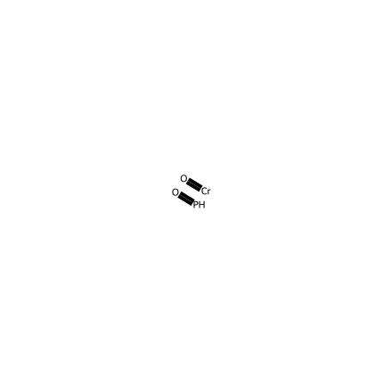 O=P.[O]=[Cr]